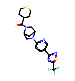 O=C(C1CCSCC1)N1CC2CC1CN2c1ccc(-c2noc(C(F)(F)F)n2)cn1